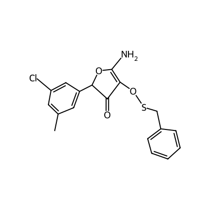 Cc1cc(Cl)cc(C2OC(N)=C(OSCc3ccccc3)C2=O)c1